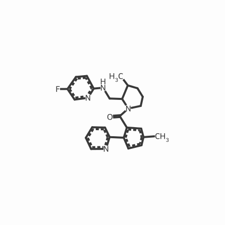 Cc1ccc(-c2ccccn2)c(C(=O)N2CCCC(C)C2CNc2ccc(F)cn2)c1